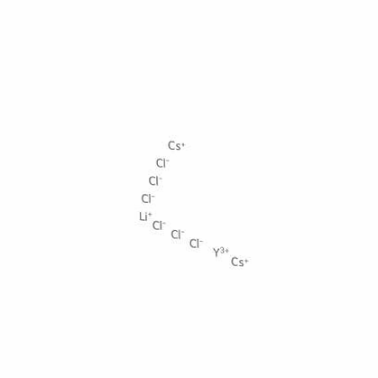 [Cl-].[Cl-].[Cl-].[Cl-].[Cl-].[Cl-].[Cs+].[Cs+].[Li+].[Y+3]